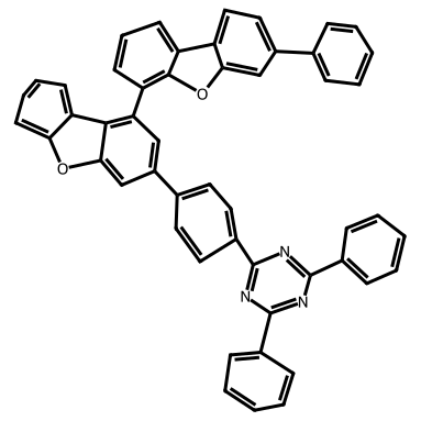 c1ccc(-c2ccc3c(c2)oc2c(-c4cc(-c5ccc(-c6nc(-c7ccccc7)nc(-c7ccccc7)n6)cc5)cc5oc6ccccc6c45)cccc23)cc1